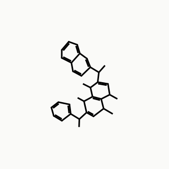 CC1C=C(C(C)c2ccccc2)C(C)C2=C1C(C)C=C(C(C)c1ccc3ccccc3c1)C2C